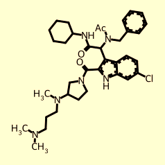 CC(=O)N(Cc1ccccc1)C(C(=O)NC1CCCCC1)c1c(C(=O)N2CCC(N(C)CCCN(C)C)C2)[nH]c2cc(Cl)ccc12